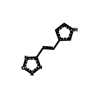 C(=Cc1nnon1)c1cc[nH]c1